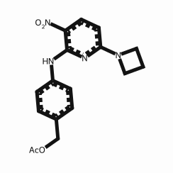 CC(=O)OCc1ccc(Nc2nc(N3CCC3)ccc2[N+](=O)[O-])cc1